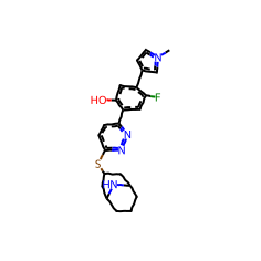 Cn1ccc(-c2cc(O)c(-c3ccc(SC4CC5CCCC(C4)N5)nn3)cc2F)c1